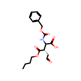 CCCCOC(=O)[C@@H](CC=O)C(NC(=O)OCc1ccccc1)C(=O)O